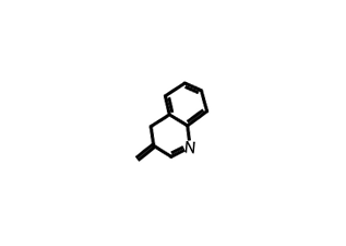 C=C1C=Nc2ccccc2C1